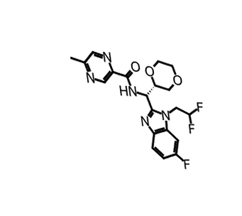 Cc1cnc(C(=O)NC(c2nc3ccc(F)cc3n2CC(F)F)[C@H]2COCCO2)cn1